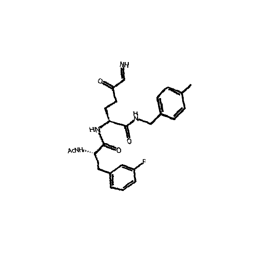 CC(=O)N[C@@H](Cc1cccc(F)c1)C(=O)N[C@@H](CCC(=O)C=N)C(=O)NCc1ccc(C)cc1